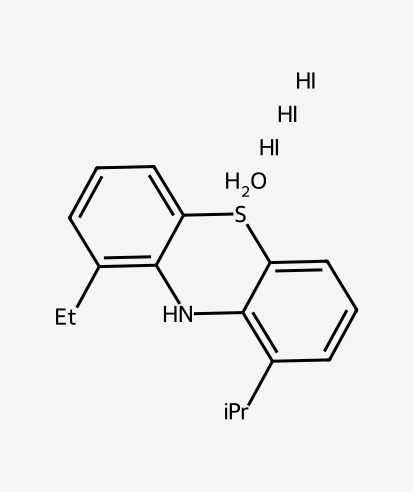 CCc1cccc2c1Nc1c(cccc1C(C)C)S2.I.I.I.O